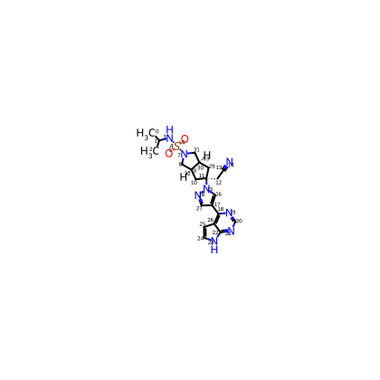 CC(C)NS(=O)(=O)N1C[C@@H]2C[C@](CC#N)(n3cc(-c4ncnc5[nH]ccc45)cn3)C[C@@H]2C1